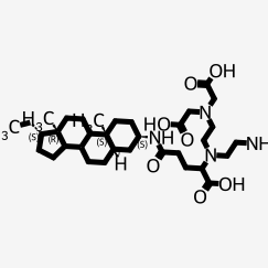 CC[C@H]1CCC2C3CC[C@@H]4C[C@@H](NC(=O)CCC(C(=O)O)N(CCN)CCN(CC(=O)O)CC(=O)O)CC[C@]4(C)C3CC[C@@]21C